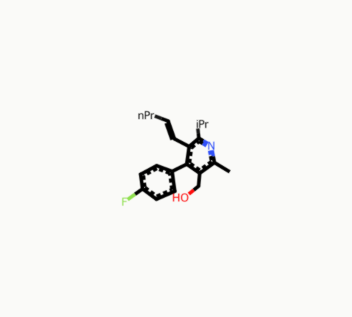 CCC/C=C/c1c(C(C)C)nc(C)c(CO)c1-c1ccc(F)cc1